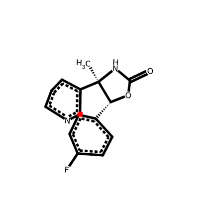 C[C@]1(c2cccnc2)NC(=O)O[C@@H]1c1ccc(F)cc1